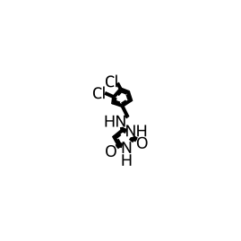 O=c1cc(NCc2ccc(Cl)c(Cl)c2)[nH]c(=O)[nH]1